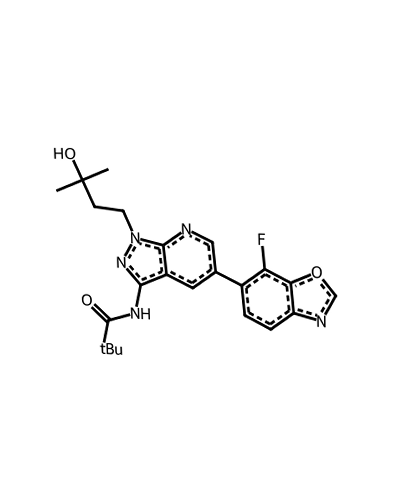 CC(C)(O)CCn1nc(NC(=O)C(C)(C)C)c2cc(-c3ccc4ncoc4c3F)cnc21